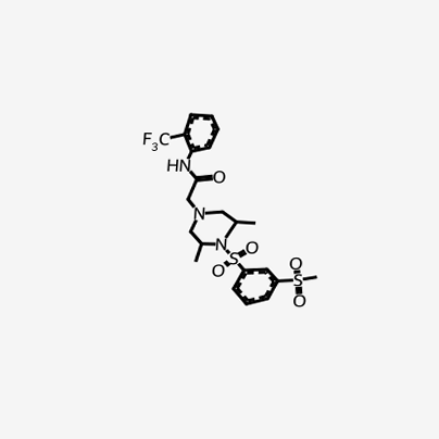 CC1CN(CC(=O)Nc2ccccc2C(F)(F)F)CC(C)N1S(=O)(=O)c1cccc(S(C)(=O)=O)c1